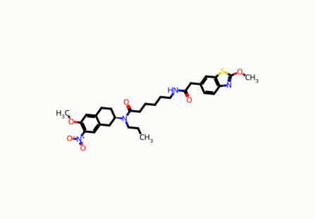 CCCN(C(=O)CCCCCNC(=O)Cc1ccc2nc(OC)sc2c1)[C@@H]1CCc2cc(OC)c([N+](=O)[O-])cc2C1